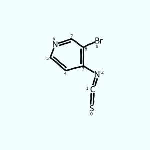 S=C=Nc1ccncc1Br